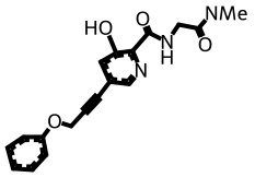 CNC(=O)CNC(=O)c1ncc(C#CCOc2ccccc2)cc1O